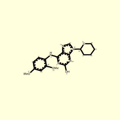 COc1ccc(Nc2nc(O)nc3c2ncn3C2CCCCO2)c(OC)c1